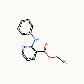 CCOC(=O)c1cccnc1Nc1ccccc1